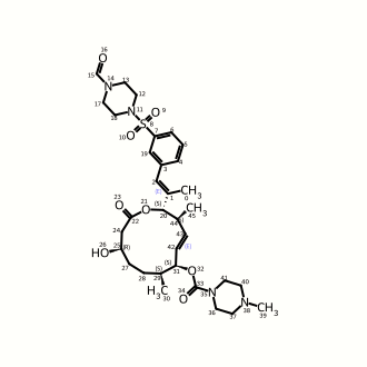 C/C(=C\c1cccc(S(=O)(=O)N2CCN(C=O)CC2)c1)[C@H]1OC(=O)C[C@H](O)CC[C@H](C)[C@H](OC(=O)N2CCN(C)CC2)/C=C/[C@@H]1C